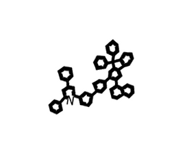 c1ccc(-c2cc(-c3ccccc3)nc(-c3cccc(-c4ccc(-c5cc6c(cc5-c5cccc7ccccc57)-c5ccccc5C6(c5ccccc5)c5ccccc5)cc4)c3)c2)cc1